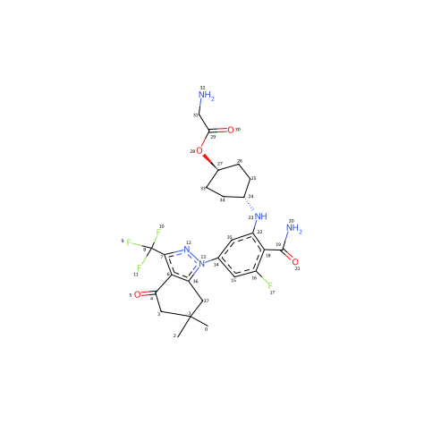 CC1(C)CC(=O)c2c(C(F)(F)F)nn(-c3cc(F)c(C(N)=O)c(N[C@H]4CC[C@H](OC(=O)CN)CC4)c3)c2C1